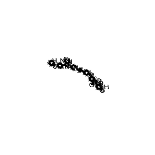 Nc1ncnc2c1c(-c1ccc(Oc3ccccc3)cc1)nn2C1CCN(C2CC(C3CCC(Oc4ccc5c(c4)C(=O)N(C4CCC(=O)NC4=O)C5=O)CC3)C2)CC1